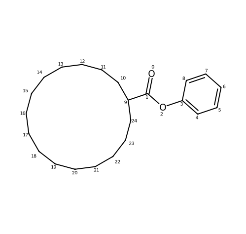 O=C(Oc1ccccc1)C1CCCCCCCCCCCCCCC1